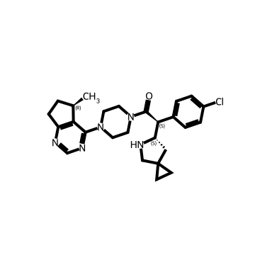 C[C@@H]1CCc2ncnc(N3CCN(C(=O)[C@@H](c4ccc(Cl)cc4)[C@@H]4CC5(CC5)CN4)CC3)c21